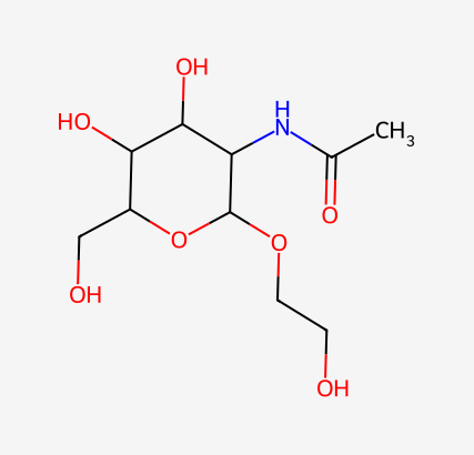 CC(=O)NC1C(OCCO)OC(CO)C(O)C1O